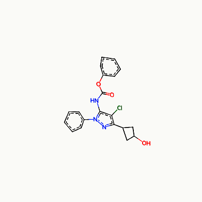 O=C(Nc1c(Cl)c(C2CC(O)C2)nn1-c1ccccc1)Oc1ccccc1